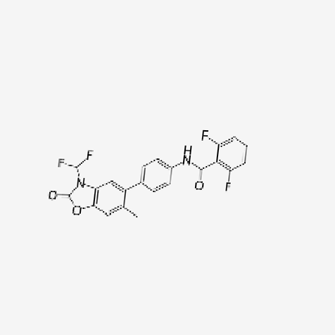 Cc1cc2oc(=O)n(C(F)F)c2cc1-c1ccc(NC(=O)c2c(F)cccc2F)cc1